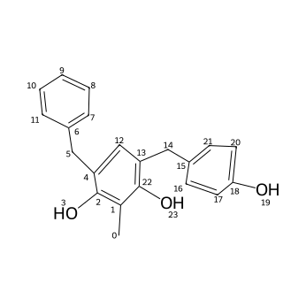 Cc1c(O)c(Cc2ccccc2)cc(Cc2ccc(O)cc2)c1O